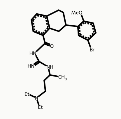 CCN(CC)CCC(C)NC(=N)NC(=O)c1cccc2c1CC(c1cc(Br)ccc1OC)CC2